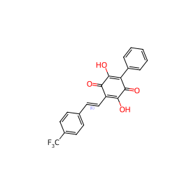 O=C1C(O)=C(c2ccccc2)C(=O)C(O)=C1/C=C/c1ccc(C(F)(F)F)cc1